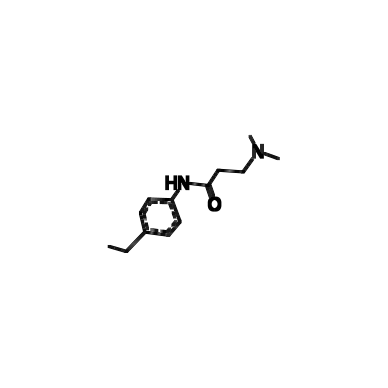 CCc1ccc(NC(=O)CCN(C)C)cc1